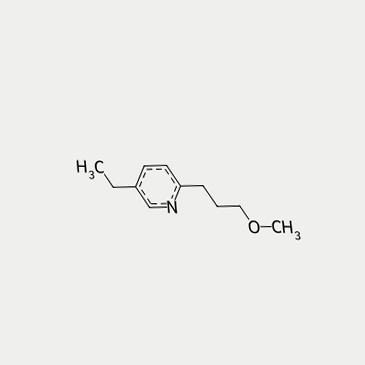 CCc1ccc(CCCOC)nc1